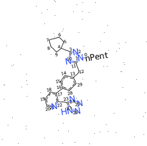 CCCCCn1nc(C2CCCCC2)nc1Cc1ccc(-c2cccnc2-c2nnn[nH]2)cc1